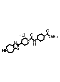 CC(C)COC(=O)[C@H]1CC[C@H](NC(=O)N2CCC(c3nc4c(s3)CCNCC4)CC2)CC1.Cl